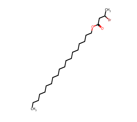 CCCCCCCCCCCCCCCCCCCOC(=O)CC(C)Br